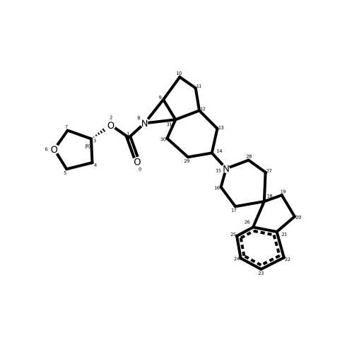 O=C(O[C@@H]1CCOC1)N1C2CCC3CC(N4CCC5(CCc6ccccc65)CC4)CCC321